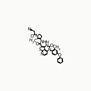 CC1=C(NC(=O)c2sc3nccc4c3c2NC(=O)N4c2ccc(Oc3ccccc3)cc2C)CCN1C(=O)CC#N